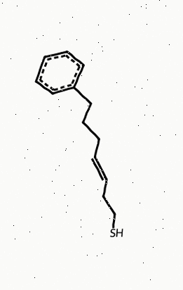 SCCC=CCCCc1ccccc1